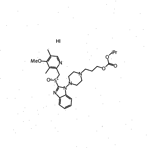 COc1c(C)cnc(C[S+]([O-])c2nc3ccccc3n2N2CCN(CCCOC(=O)OC(C)C)CC2)c1C.I